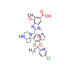 COc1cc(C(=O)O)cc2c1nc(CN1CCNC3CCC31c1cccc3c1OC(C)(c1ccc(Cl)cn1)O3)n2C[C@@H]1CCCO1